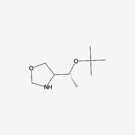 C[C@@H](OC(C)(C)C)C1COCN1